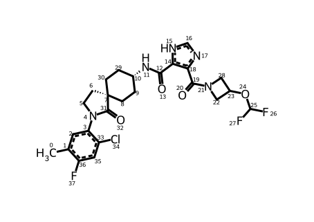 Cc1cc(N2CC[C@]3(CC[C@@H](NC(=O)c4[nH]cnc4C(=O)N4CC(OC(F)F)C4)CC3)C2=O)c(Cl)cc1F